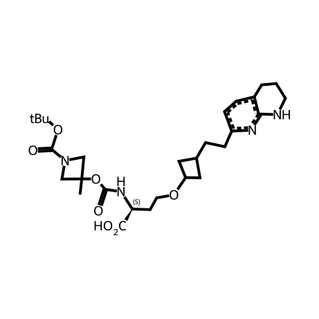 CC(C)(C)OC(=O)N1CC(C)(OC(=O)N[C@@H](CCOC2CC(CCc3ccc4c(n3)NCCC4)C2)C(=O)O)C1